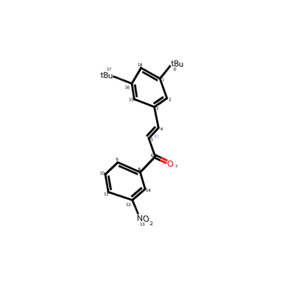 CC(C)(C)c1cc(/C=C/C(=O)c2cccc([N+](=O)[O-])c2)cc(C(C)(C)C)c1